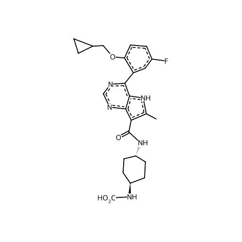 Cc1[nH]c2c(-c3cc(F)ccc3OCC3CC3)ncnc2c1C(=O)N[C@H]1CC[C@H](NC(=O)O)CC1